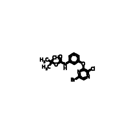 CC(C)(C)OC(=O)Nc1cccc(Oc2nc(Br)cnc2Cl)c1